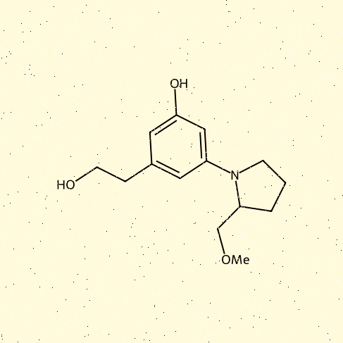 COCC1CCCN1c1cc(O)cc(CCO)c1